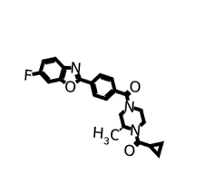 C[C@@H]1CN(C(=O)c2ccc(-c3nc4ccc(F)cc4o3)cc2)CCN1C(=O)C1CC1